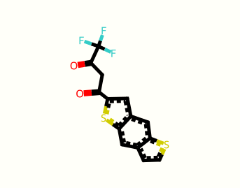 O=C(CC(=O)C(F)(F)F)c1cc2cc3sccc3cc2s1